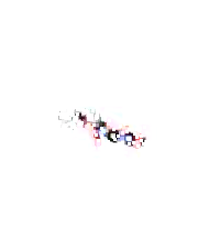 CC(C)(C)[Si](C)(C)OC[C@@H]1OC(=O)N2c3ccc(N4CCC5(CC4=O)OCCO5)cc3OC[C@@H]12